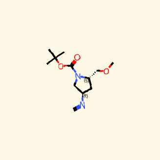 C=N[C@@H]1C[C@@H](COC)N(C(=O)OC(C)(C)C)C1